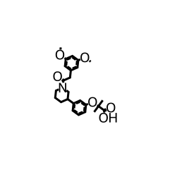 COc1cc(CC(=O)N2CCCC(c3cccc(OC(C)(C)C(=O)O)c3)C2)cc(OC)c1